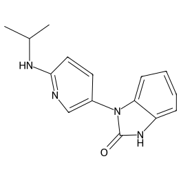 CC(C)Nc1ccc(-n2c(=O)[nH]c3ccccc32)cn1